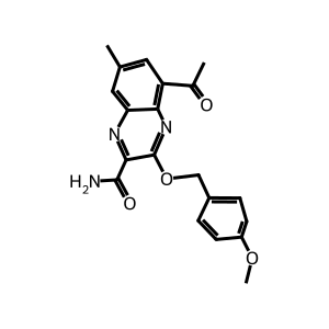 COc1ccc(COc2nc3c(C(C)=O)cc(C)cc3nc2C(N)=O)cc1